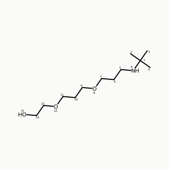 CC(C)(C)NCCCOCCCOCCO